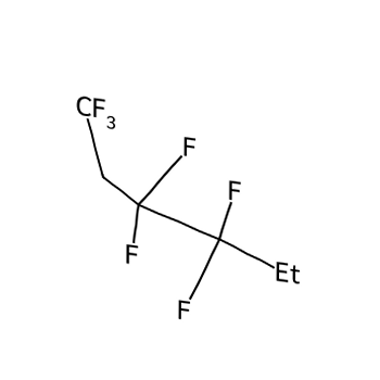 CCC(F)(F)C(F)(F)CC(F)(F)F